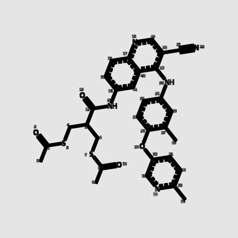 CC(=O)SCC(CSC(C)=O)C(=O)Nc1ccc2ncc(C#N)c(Nc3ccc(Oc4ccc(C)nc4)c(C)c3)c2c1